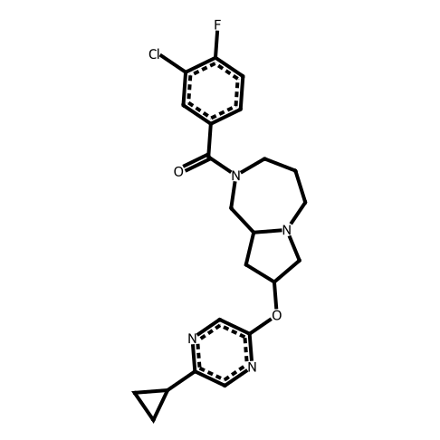 O=C(c1ccc(F)c(Cl)c1)N1CCCN2CC(Oc3cnc(C4CC4)cn3)CC2C1